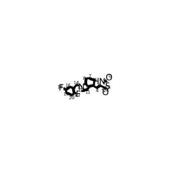 O=C1NC(=Cc2cccc3c2ccn3Cc2cc(F)ccc2F)C(=O)S1